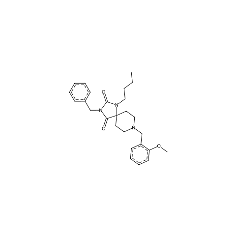 CCCCN1C(=O)N(Cc2ccccc2)C(=O)C12CCN(Cc1ccccc1OC)CC2